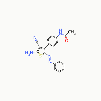 CC(=O)Nc1ccc(-c2c(N=Nc3ccccc3)sc(N)c2C#N)cc1